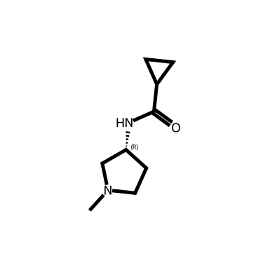 CN1CC[C@@H](NC(=O)C2CC2)C1